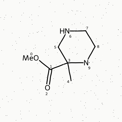 COC(=O)C1(C)CNCC[N]1